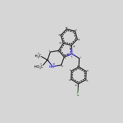 CC1(C(=O)O)Cc2c(n(Cc3ccc(F)cc3)c3ccccc23)CN1